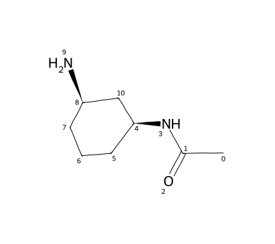 CC(=O)N[C@H]1CCC[C@@H](N)C1